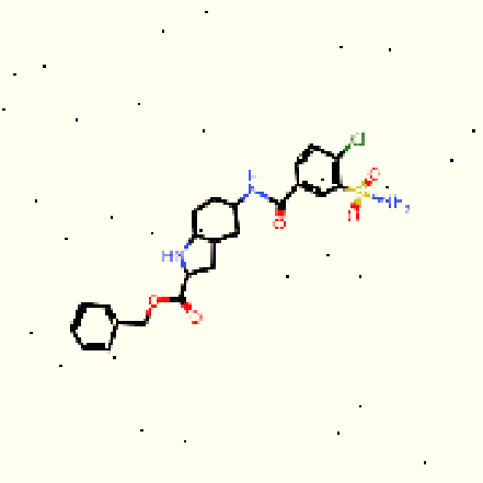 NS(=O)(=O)c1cc(C(=O)NC2CCC3NC(C(=O)OCc4ccccc4)CC3C2)ccc1Cl